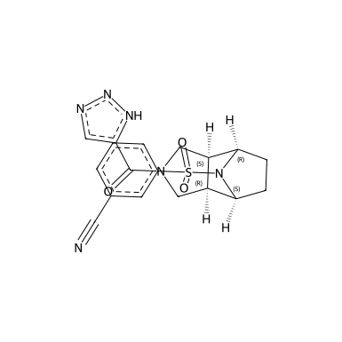 N#Cc1cccc(S(=O)(=O)N2[C@@H]3CC[C@H]2[C@H]2CN(C(=O)c4cnn[nH]4)C[C@H]23)c1